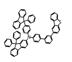 c1ccc(C2(c3ccc(N(c4ccc(-c5cccc(-c6ccc7sc8ccccc8c7c6)c5)cc4)c4ccc5c(c4)C(c4ccccc4)(c4ccccc4)c4ccccc4-5)cc3)c3ccccc3-c3ccccc32)cc1